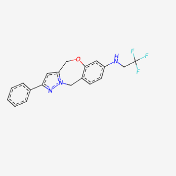 FC(F)(F)CNc1ccc2c(c1)OCc1cc(-c3ccccc3)nn1C2